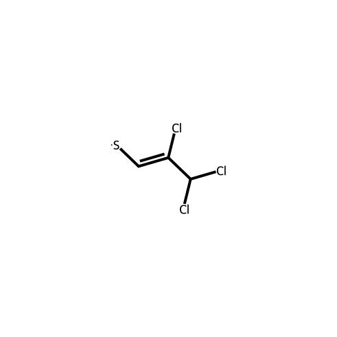 [S]C=C(Cl)C(Cl)Cl